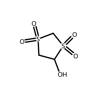 O=S1(=O)CC(O)S(=O)(=O)C1